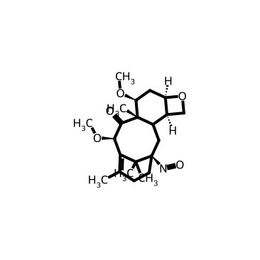 CO[C@H]1C(=O)[C@@]2(C)C(C[C@]3(N=O)CCC(C)=C1C3(C)C)[C@@H]1CO[C@@H]1C[C@@H]2OC